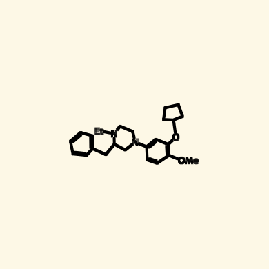 CCN1CCN(c2ccc(OC)c(OC3CCCC3)c2)CC1Cc1ccccc1